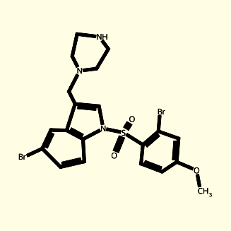 COc1ccc(S(=O)(=O)n2cc(CN3CCNCC3)c3cc(Br)ccc32)c(Br)c1